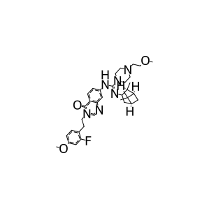 COCCN1CCN(C(=NC2C[C@@H]3C[C@H]([C@@H]2C)C3(C)C)Nc2ccc3c(=O)n(CCc4ccc(OC)cc4F)cnc3c2)CC1